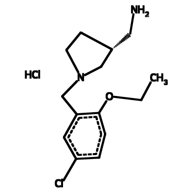 CCOc1ccc(Cl)cc1CN1CC[C@H](CN)C1.Cl